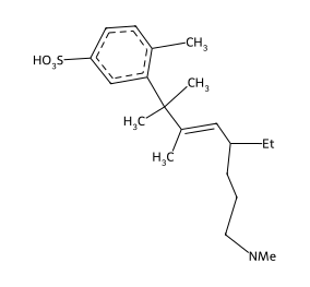 CCC(/C=C(\C)C(C)(C)c1cc(S(=O)(=O)O)ccc1C)CCCNC